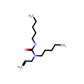 C=CCN(CCCCC)C(=O)[N]CCCCC